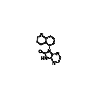 O=c1[nH]c2nccnc2n1-c1cccc2ncccc12